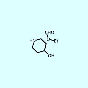 CCOC=O.OC1CCNCC1